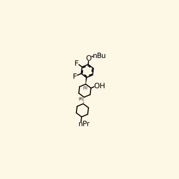 CCCCOc1ccc([C@@H]2CC[C@@H](C3CCC(CCC)CC3)CC2O)c(F)c1F